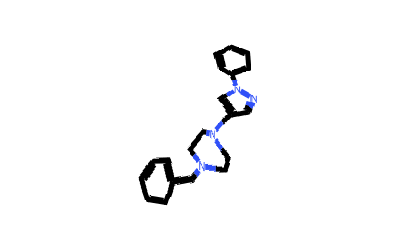 [c]1c(N2CCN(Cc3ccccc3)CC2)cnn1-c1ccccc1